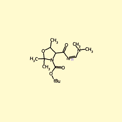 CC1OC(C)(C)N(C(=O)OC(C)(C)C)C1C(=O)/N=C\N(C)C